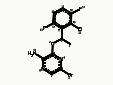 CC(Oc1nc(Br)cnc1N)c1c(F)ccc(F)c1Cl